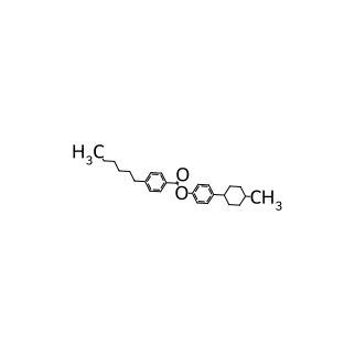 CCCCCCc1ccc(C(=O)Oc2ccc(C3CCC(C)CC3)cc2)cc1